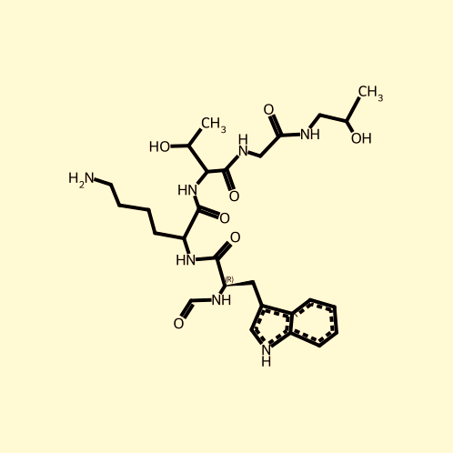 CC(O)CNC(=O)CNC(=O)C(NC(=O)C(CCCCN)NC(=O)[C@@H](Cc1c[nH]c2ccccc12)NC=O)C(C)O